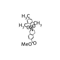 COC(=O)c1ccc2c(c1)CCN(S(=O)(=O)c1c(C)cc(C)cc1C)C2